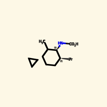 C1CC1.CC(C)[C@@H]1CCCC(C)[C@@H]1NC(=O)O